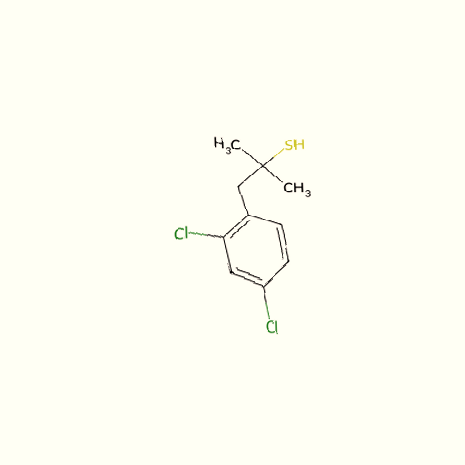 CC(C)(S)Cc1ccc(Cl)cc1Cl